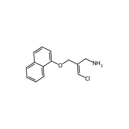 NCC(=CCl)COc1cccc2ccccc12